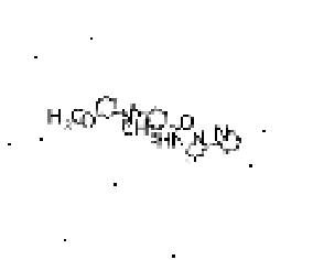 COc1cccc(N(C)Sc2ccc(C(=O)Nc3nc(-c4ccccn4)cs3)cc2)c1